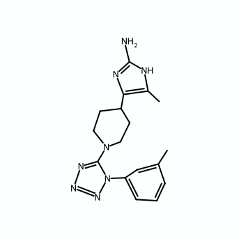 Cc1cccc(-n2nnnc2N2CCC(c3nc(N)[nH]c3C)CC2)c1